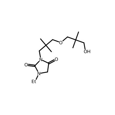 CCN1CC(=O)N(CC(C)(C)COCC(C)(C)CO)C1=O